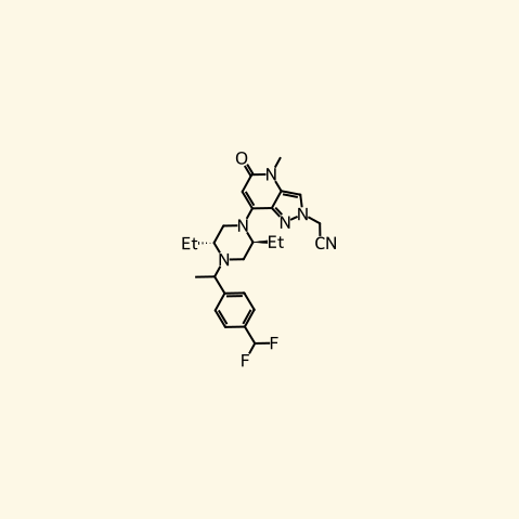 CC[C@H]1CN(C(C)c2ccc(C(F)F)cc2)[C@H](CC)CN1c1cc(=O)n(C)c2cn(CC#N)nc12